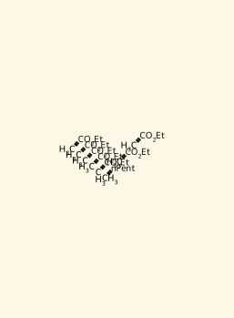 CCCCCC.CCOC(C)=O.CCOC(C)=O.CCOC(C)=O.CCOC(C)=O.CCOC(C)=O.CCOC(C)=O.CCOC(C)=O